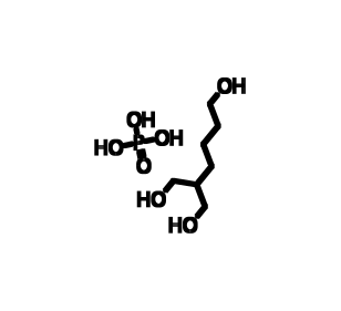 O=P(O)(O)O.OCCCCC(CO)CO